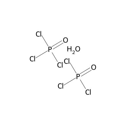 O.O=P(Cl)(Cl)Cl.O=P(Cl)(Cl)Cl